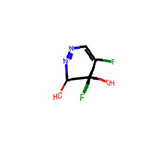 OC1N=NC=C(F)C1(O)F